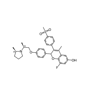 CC1=C(c2ccc(S(C)(=O)=O)cc2)C(c2ccc(OC[C@H](C)N3CCC[C@H]3C)cc2)Oc2c(F)cc(O)cc21